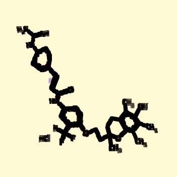 Cc1c(C)c2c(c(C)c1O)CCC(C)(CCOc1ccc(NC(=O)/C=C/c3ccc(NC(=N)N)cc3)cc1C(F)(F)F)O2.Cl